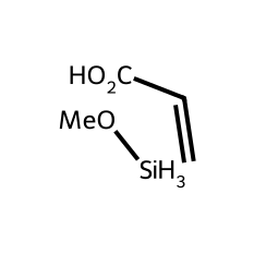 C=CC(=O)O.CO[SiH3]